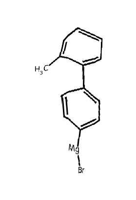 Cc1ccccc1-c1cc[c]([Mg][Br])cc1